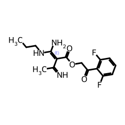 CCCN/C(N)=C(\C(C)=N)C(=O)OCC(=O)c1c(F)cccc1F